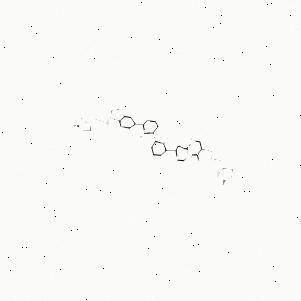 Cc1c(-c2ccn3c(=O)c(CNC[C@H]4CCC(=O)N4)cnc3c2)cccc1-c1cccc(-c2ccc3c(c2)CC[C@H]3NC[C@H]2CCC(=O)N2)c1Cl